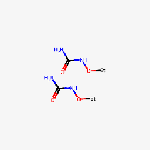 CCONC(N)=O.CCONC(N)=O